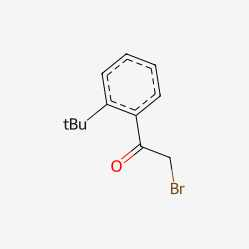 CC(C)(C)c1ccccc1C(=O)CBr